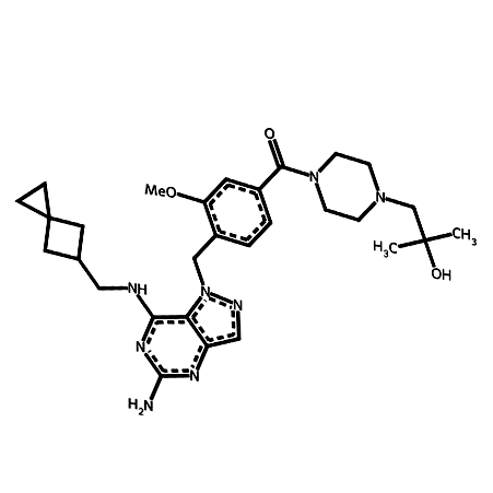 COc1cc(C(=O)N2CCN(CC(C)(C)O)CC2)ccc1Cn1ncc2nc(N)nc(NCC3CC4(CC4)C3)c21